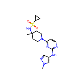 Cn1cc(Nc2nccc(N3CCC(C)(NS(=O)(=O)C4CC4)CC3)n2)cn1